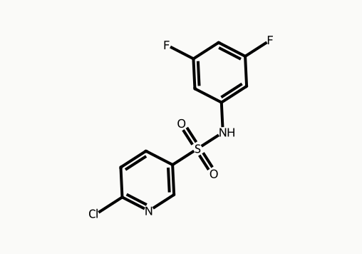 O=S(=O)(Nc1cc(F)cc(F)c1)c1ccc(Cl)nc1